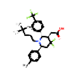 Cc1ccc([C@@H]2CC(F)(F)[C@H](CC(=O)O)[C@@H](c3ccc(C(F)(F)F)cc3)N2CCCC(C)(C)C)cc1